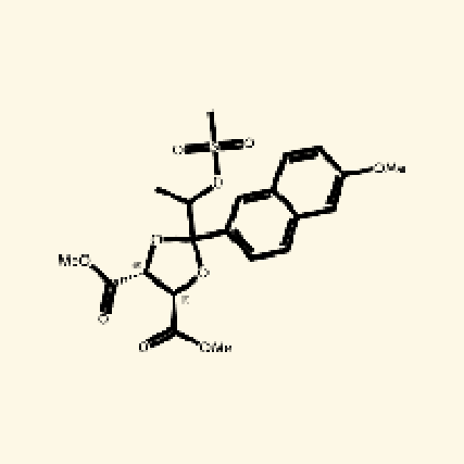 COC(=O)[C@@H]1OC(c2ccc3cc(OC)ccc3c2)(C(C)OS(C)(=O)=O)O[C@H]1C(=O)OC